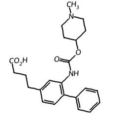 CN1CCC(OC(=O)Nc2cc(CCCC(=O)O)ccc2-c2ccccc2)CC1